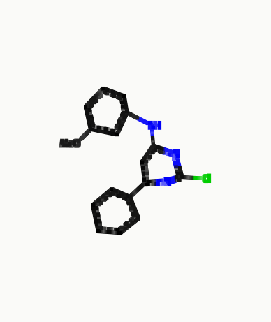 COc1cccc(Nc2cc(-c3ccccc3)nc(Cl)n2)c1